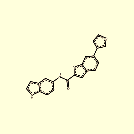 O=C(Nc1ccc2[nH]ccc2c1)c1cc2ccc(-c3ccoc3)cc2s1